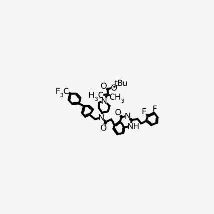 CC(C)(C)OC(=O)C(C)(C)N1CCC(N(Cc2ccc(-c3ccc(C(F)(F)F)cc3)cc2)C(=O)Cc2cccc3[nH]c(CCc4cccc(F)c4F)nc(=O)c23)CC1